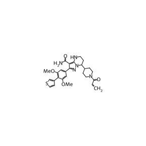 C=CC(=O)N1CCC(C2CCNc3c(C(N)=O)c(-c4cc(OC)c(-c5ccsc5)c(OC)c4)nn32)CC1